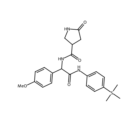 COc1ccc(C(NC(=O)C2CNC(=O)C2)C(=O)Nc2ccc(S(C)(C)C)cc2)cc1